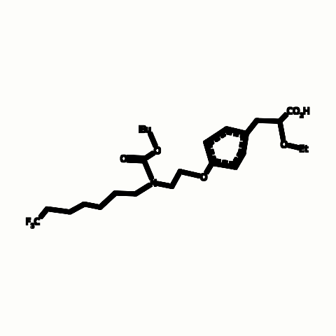 CCOC(Cc1ccc(OCCN(CCCCCCC(F)(F)F)C(=O)OC(C)CC)cc1)C(=O)O